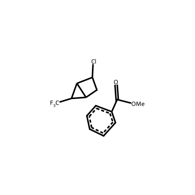 COC(=O)c1ccccc1.FC(F)(F)C1C2CC(Cl)C21